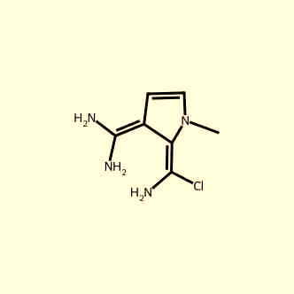 Cn1ccc(=C(N)N)/c1=C(\N)Cl